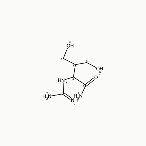 N=C(N)NC(C(N)=O)C(CO)CO